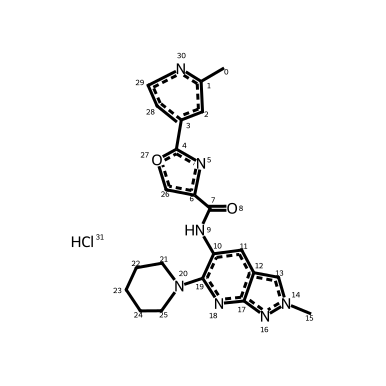 Cc1cc(-c2nc(C(=O)Nc3cc4cn(C)nc4nc3N3CCCCC3)co2)ccn1.Cl